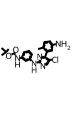 Cc1ccc(N)cc1-c1nc(Nc2cccc(NC(=O)OC(C)(C)C)c2)ncc1Cl